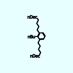 [CH2]CCCc1c(CCCCCCCCCCCCCC)cccc1CCCCCCCCCCCCCC